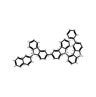 c1ccc(-c2ccc3oc4cccc(-n5c6ccccc6c6cc(-c7ccc8c(c7)c7ccccc7n8-c7ccc8ccccc8c7)ccc65)c4c3c2)cc1